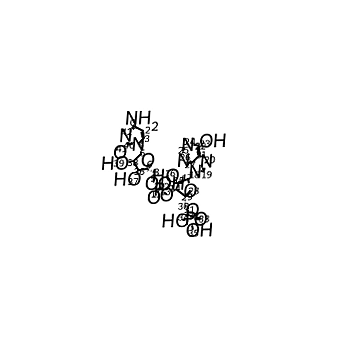 Nc1ccn([C@@H]2O[C@H](COP(=O)(O)O[C@H]3[C@@H](O)[C@H](n4cnc5c(O)ncnc54)O[C@@H]3COP(=O)(O)O)[C@@H](O)[C@H]2O)c(=O)n1